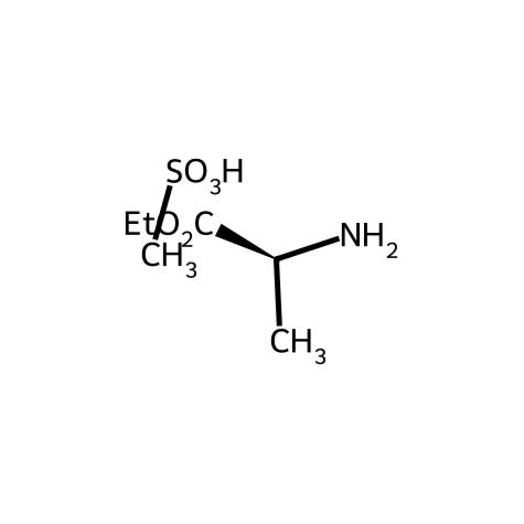 CCOC(=O)[C@H](C)N.CS(=O)(=O)O